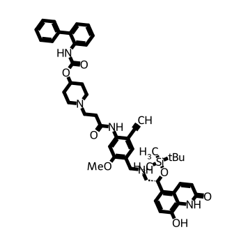 C#Cc1cc(CNC[C@H](O[Si](C)(C)C(C)(C)C)c2ccc(O)c3[nH]c(=O)ccc23)c(OC)cc1NC(=O)CCN1CCC(OC(=O)Nc2ccccc2-c2ccccc2)CC1